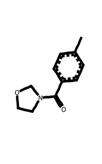 Cc1ccc(C(=O)N2CCOC2)cc1